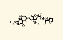 Nc1nc2c(c(=O)[nH]1)SC(CC[C@](N)(CCC(=O)ONC(=O)c1ccco1)C(=O)O)CN2